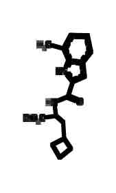 CCOC(=O)C(CC1CCC1)NC(=O)c1cc2cccc(C)c2[nH]1